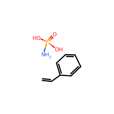 C=Cc1ccccc1.NP(=O)(O)O